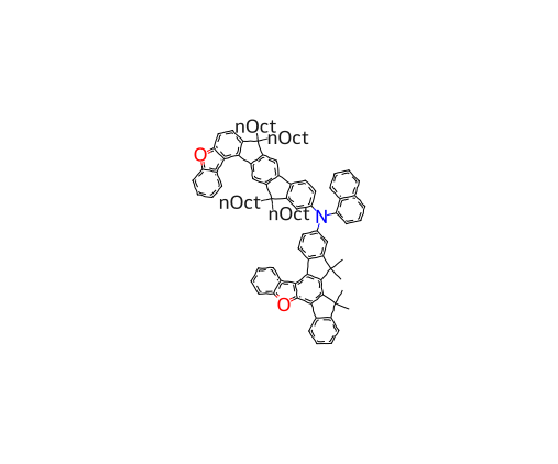 CCCCCCCCC1(CCCCCCCC)c2cc(N(c3ccc4c(c3)C(C)(C)c3c5c(c6oc7ccccc7c6c3-4)-c3ccccc3C5(C)C)c3cccc4ccccc34)ccc2-c2cc3c(cc21)-c1c(ccc2oc4ccccc4c12)C3(CCCCCCCC)CCCCCCCC